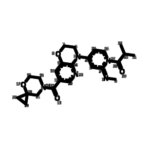 C/N=c1/cc(N2CCOc3cc(C(=O)N4CCOC5(CC5)C4)cnc32)ccn1C(=O)C(C)C